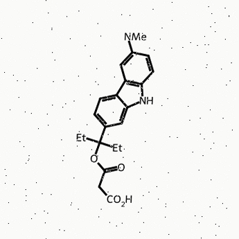 CCC(CC)(OC(=O)CC(=O)O)c1ccc2c(c1)[nH]c1ccc(NC)cc12